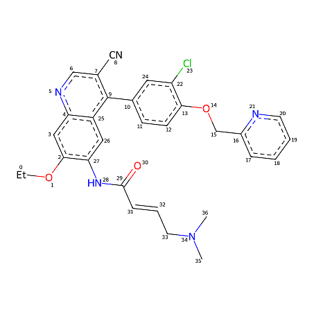 CCOc1cc2ncc(C#N)c(-c3ccc(OCc4ccccn4)c(Cl)c3)c2cc1NC(=O)C=CCN(C)C